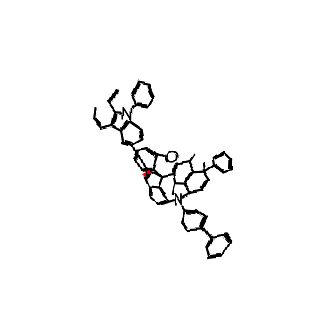 C=Cc1c(/C=C\C)c2cc(-c3ccc4c(c3)C35C6=C(Oc7ccccc73)C(C)C3=C(C6C)C(C=CC3(C)c3ccccc3)N(c3ccc(-c6ccccc6)cc3)c3ccc-4c5c3)ccc2n1-c1ccccc1